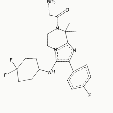 CC1(C)c2nc(-c3ccc(F)cc3)c(NC3CCC(F)(F)CC3)n2CCN1C(=O)CN